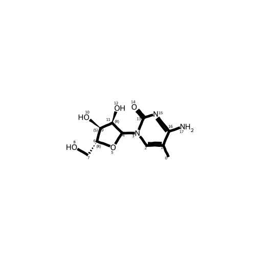 Cc1cn([C]2O[C@H](CO)[C@@H](O)[C@H]2O)c(=O)nc1N